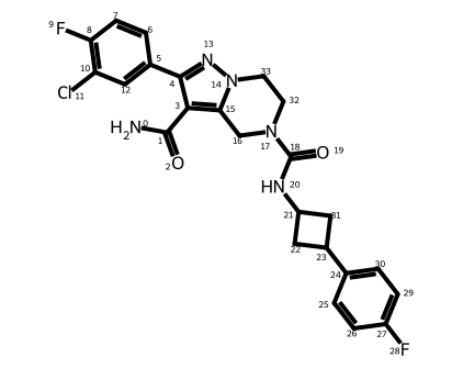 NC(=O)c1c(-c2ccc(F)c(Cl)c2)nn2c1CN(C(=O)NC1CC(c3ccc(F)cc3)C1)CC2